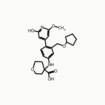 COc1cc(-c2ccc(NC3(C(=O)O)CCOCC3)cc2COC2CCCC2)cc(O)n1